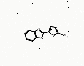 Nc1ccc(-c2nc3cnccc3o2)s1